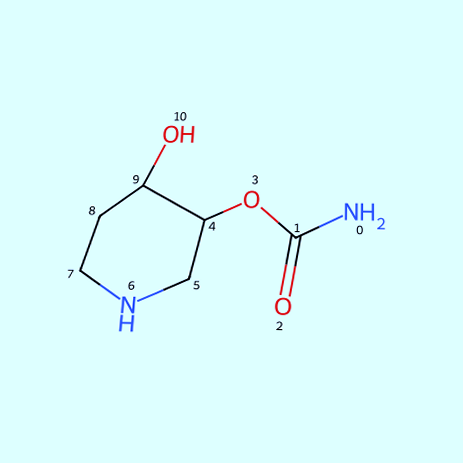 NC(=O)OC1CNCCC1O